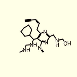 C#C/C=C\Cc1nc(CNCO)nc(N=C)c1C(NCNC)C1CCCCC1